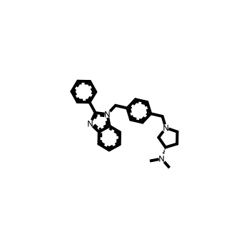 CN(C)[C@H]1CCN(Cc2ccc(Cn3c(-c4ccccc4)nc4ccccc43)cc2)C1